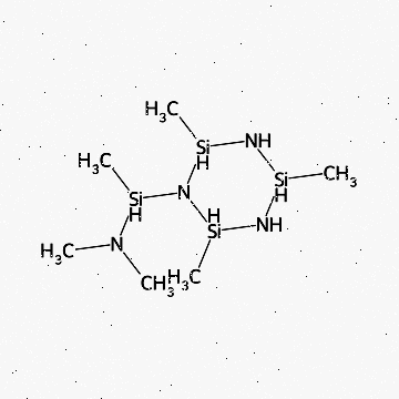 CN(C)[SiH](C)N1[SiH](C)N[SiH](C)N[SiH]1C